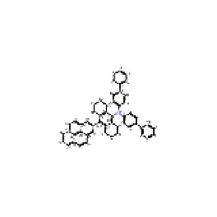 c1ccc(-c2ccc(N(c3ccc(-c4ccccc4)cc3)c3c4c(c(-c5cc6ccc7cccc8ccc(c5)c6c78)c5c3CCCC5)CCCC4)cc2)cc1